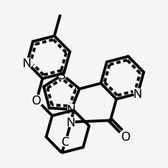 Cc1ccc(OC2CC3CCC2N(C(=O)c2ncccc2-c2nccs2)C3)nc1